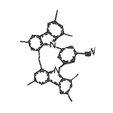 Cc1cc(C)c2c(c1)c1cc(C)cc3c1n2-c1cc(C#N)cc(c1)-n1c2c(C)cc(C)cc2c2cc(C)cc(c21)C3